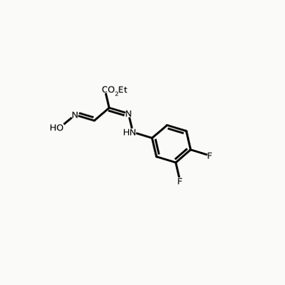 CCOC(=O)C(C=NO)=NNc1ccc(F)c(F)c1